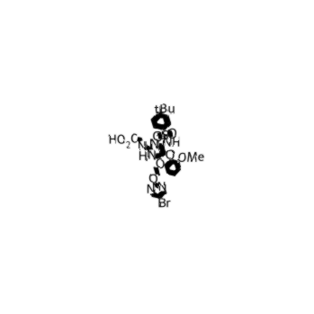 COc1ccccc1Oc1c(NS(=O)(=O)c2ccc(C(C)(C)C)cc2)nc(NCC(=O)O)nc1OCCOc1ncc(Br)cn1